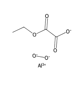 CCOC(=O)C(=O)[O-].[Al+3].[O-][O-]